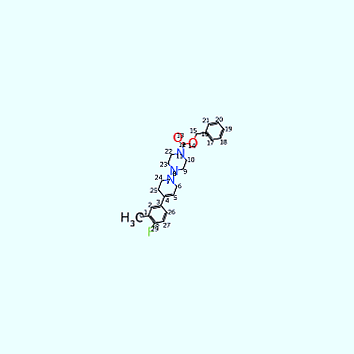 Cc1cc(C2=CCN(N3CCN(C(=O)OCc4ccccc4)CC3)CC2)ccc1F